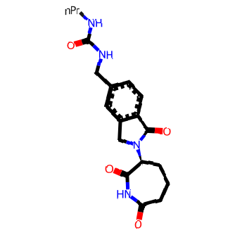 CCCNC(=O)NCc1ccc2c(c1)CN([C@H]1CCCC(=O)NC1=O)C2=O